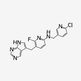 Fc1nc(NCc2ccc(Cl)nc2)ccc1Cc1c[nH]c2ncncc12